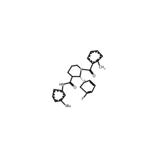 Cc1ccccc1C(=O)N1CCCC(C(=O)Nc2cccc(C(C)(C)C)c2)C1[C@@H]1C=CC=C(F)C1